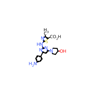 Cc1nc(Nc2nc(-c3ccc(N)cc3)cc(N3CCC(O)CC3)n2)sc1C(=O)O